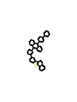 c1ccc(-c2ccc(-c3c4ccccc4c(-c4cccc(-c5ccc6sc7c8ccccc8ccc7c6c5)c4)c4ccccc34)cc2)cc1